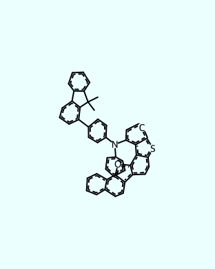 CC1(C)c2ccccc2-c2cccc(-c3ccc(N(c4ccccc4)c4cccc5sc6ccc7c8ccc9ccccc9c8oc7c6c45)cc3)c21